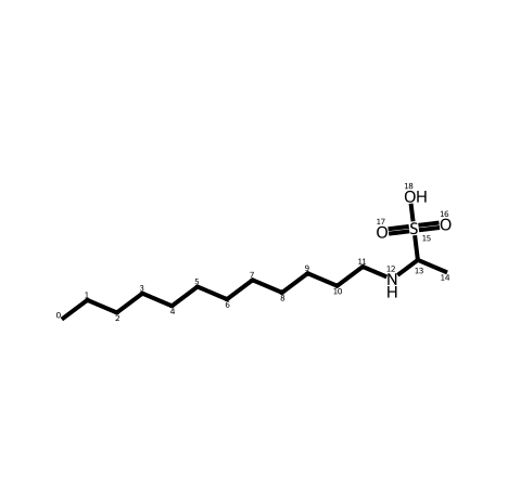 CCCCCCCCCCCCNC(C)S(=O)(=O)O